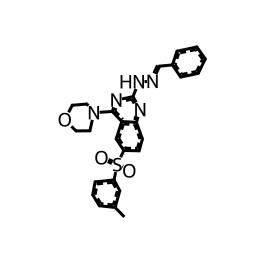 Cc1cccc(S(=O)(=O)c2ccc3nc(NN=Cc4ccccc4)nc(N4CCOCC4)c3c2)c1